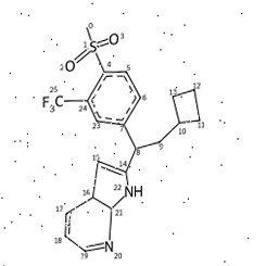 CS(=O)(=O)c1ccc(C(CC2CCC2)C2=CC3C=CC=NC3N2)cc1C(F)(F)F